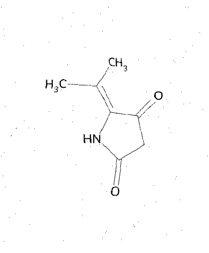 CC(C)=C1NC(=O)CC1=O